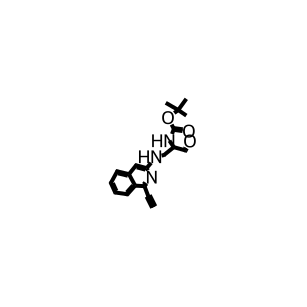 C#Cc1nc(NCC(C=O)NC(=O)OC(C)(C)C)cc2ccccc12